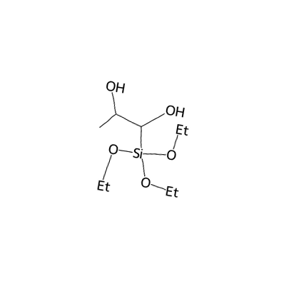 CCO[Si](OCC)(OCC)C(O)C(C)O